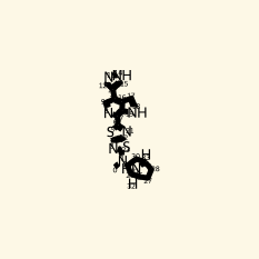 CN(c1nc2sc(-c3ncc(-c4cn[nH]c4)c4cc[nH]c34)nc2s1)[C@@H]1C[C@H]2CC[C@@H](C1)N2